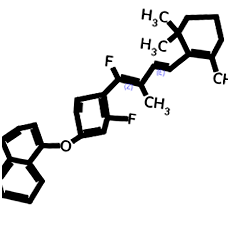 CC1=C(/C=C/C(C)=C(\F)c2ccc(Oc3cccc4ccccc34)cc2F)C(C)(C)CCC1